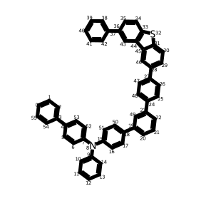 c1ccc(-c2ccc(N(c3ccccc3)c3ccc(-c4cccc(-c5ccc(-c6ccc7sc8ccc(-c9ccccc9)cc8c7c6)cc5)c4)cc3)cc2)cc1